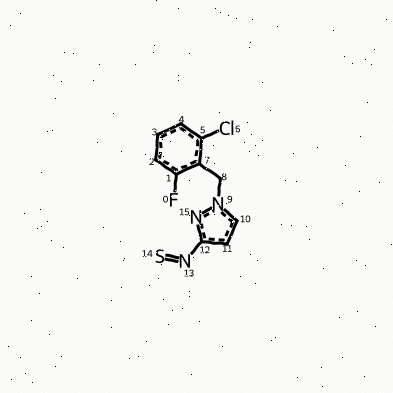 Fc1cccc(Cl)c1Cn1ccc(N=S)n1